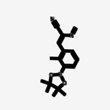 C=N/C(C#N)=C\c1cccc(B2OC(C)(C)C(C)(C)O2)c1C